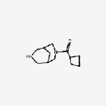 O=C(C1CCC1)N1CC2CNCC(C2)C1